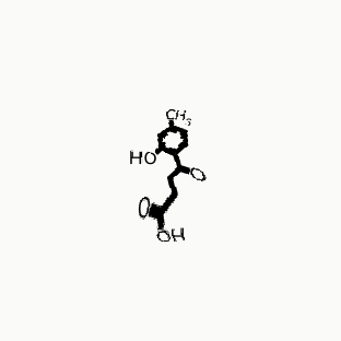 Cc1ccc(C(=O)CCC(=O)O)c(O)c1